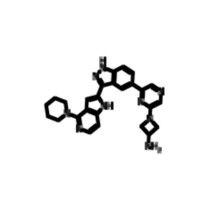 NC1CN(c2cncc(-c3ccc4[nH]nc(-c5cc6c(N7CCCCC7)nccc6[nH]5)c4c3)n2)C1